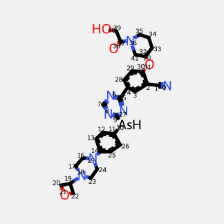 N#Cc1cc(-c2ncnc([AsH]c3ccc(N4CCN(C5COC5)CC4)cc3)n2)ccc1O[C@@H]1CCCN(C(=O)CO)C1